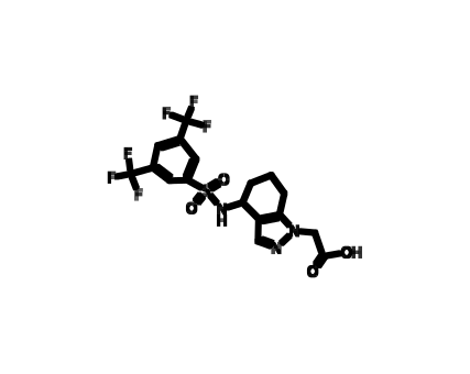 O=C(O)Cn1ncc2c1CCCC2NS(=O)(=O)c1cc(C(F)(F)F)cc(C(F)(F)F)c1